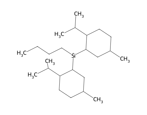 CCCC[Si](C1CC(C)CCC1C(C)C)C1CC(C)CCC1C(C)C